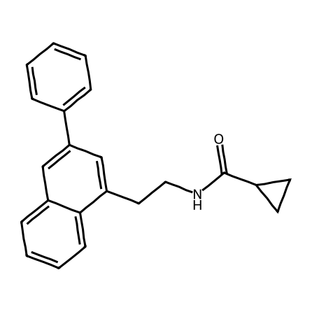 O=C(NCCc1cc(-c2ccccc2)cc2ccccc12)C1CC1